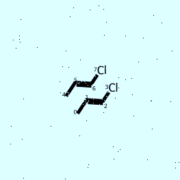 CC=CCl.CC=CCl